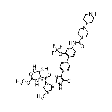 COC(=O)N[C@H](C(=O)N1C[C@@H](C)C[C@H]1c1nc(-c2ccc(-c3ccc(NC(=O)N4CCN(C5CCNCC5)CC4)cc3OC(F)(F)F)cc2)c(Cl)[nH]1)C(C)C